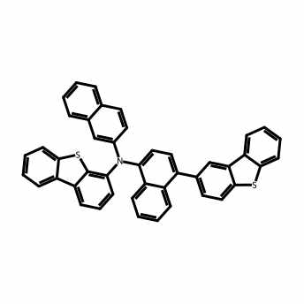 c1ccc2cc(N(c3ccc(-c4ccc5sc6ccccc6c5c4)c4ccccc34)c3cccc4c3sc3ccccc34)ccc2c1